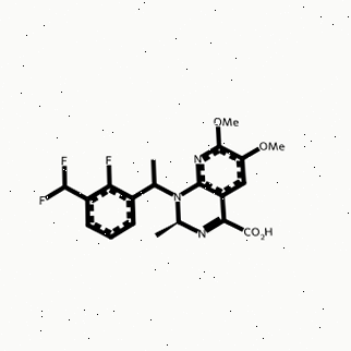 COc1cc2c(nc1OC)N(C(C)c1cccc(C(F)F)c1F)[C@H](C)N=C2C(=O)O